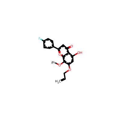 C=CCOc1cc(O)c2c(=O)cc(-c3ccc(F)cc3)oc2c1OC(C)C